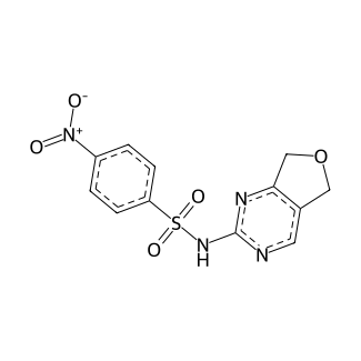 O=[N+]([O-])c1ccc(S(=O)(=O)Nc2ncc3c(n2)COC3)cc1